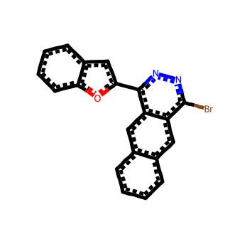 Brc1nnc(-c2cc3ccccc3o2)c2cc3ccccc3cc12